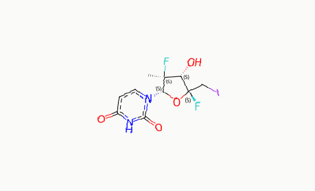 C[C@@]1(F)[C@@H](n2ccc(=O)[nH]c2=O)O[C@@](F)(CI)[C@H]1O